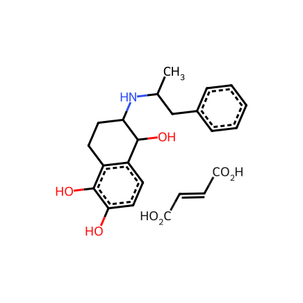 CC(Cc1ccccc1)NC1CCc2c(ccc(O)c2O)C1O.O=C(O)C=CC(=O)O